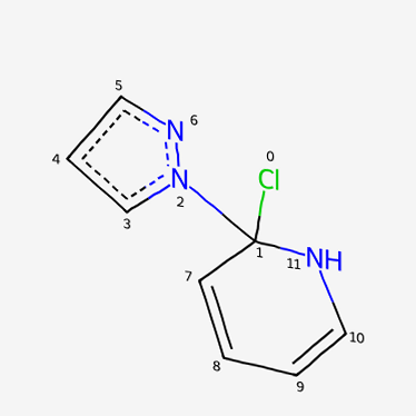 ClC1(n2cccn2)C=CC=CN1